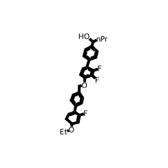 CCCC(O)c1ccc(-c2ccc(OCc3ccc(C4=CCC(OCC)C=C4F)cc3)c(F)c2F)cc1